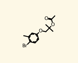 CC(=O)OC(C)(C)COc1ccc(Br)c(C)c1